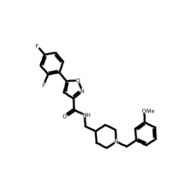 COc1cccc(CN2CCC(CNC(=O)c3cc(-c4ccc(F)cc4F)on3)CC2)c1